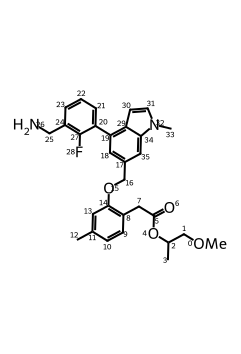 COCC(C)OC(=O)Cc1ccc(C)cc1OCc1cc(-c2cccc(CN)c2F)c2ccn(C)c2c1